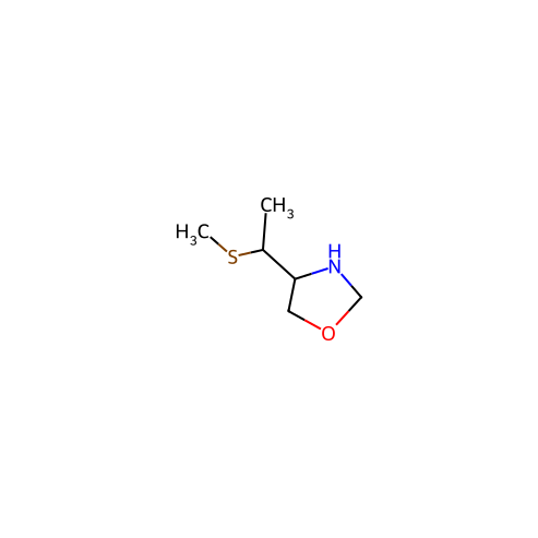 CSC(C)C1COCN1